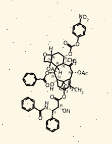 CC(=O)O[C@H]1C(=O)[C@]2(C)[C@@H](OC(=O)Oc3ccc([N+](=O)[O-])cc3)C[C@H]3OC[C@@]3(OC(C)=O)[C@H]2[C@H](OC(=O)c2ccccc2)[C@]2(O)CC(OC(=O)[C@H](O)[C@@H](NC(=O)c3ccccc3)c3ccccc3)C(C)=C1C2(C)C